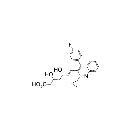 O=C(O)CC(O)C[C@H](O)/C=C/c1c(C2CC2)nc2ccccc2c1-c1ccc(F)cc1